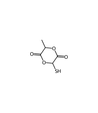 CC1OC(=O)C(S)OC1=O